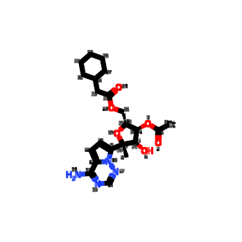 CCC(=O)O[C@H]1[C@@H](O)[C@](C)(c2ccc3c(N)ncnn23)O[C@@H]1COC(=O)CC1CCCCC1